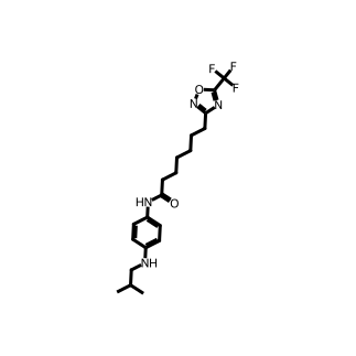 CC(C)CNc1ccc(NC(=O)CCCCCCc2noc(C(F)(F)F)n2)cc1